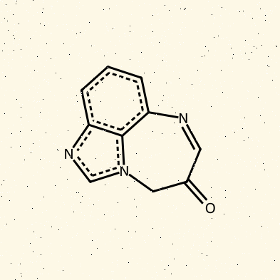 O=C1C=Nc2cccc3ncn(c23)C1